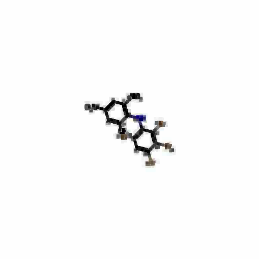 O=[N+]([O-])c1cc([N+](=O)[O-])c(Nc2c(Br)cc(Br)c(Br)c2Br)c(C(F)(F)F)c1